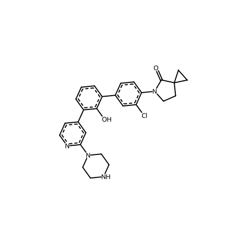 O=C1N(c2ccc(-c3cccc(-c4ccnc(N5CCNCC5)c4)c3O)cc2Cl)CCC12CC2